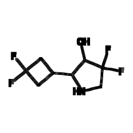 OC1C(C2CC(F)(F)C2)NCC1(F)F